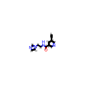 C#Cc1cncc(C(=O)NCCn2ccnc2)c1